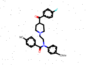 COc1ccc(N(CCN2CCC(C(=O)c3ccc(F)cc3)CC2)C(=O)c2ccc(C#N)cc2)cc1